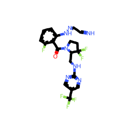 N=C/C=N\Nc1cccc(F)c1C(=O)N1CCC(F)(F)C1CNc1ncc(C(F)(F)F)cn1